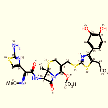 CON=C(C(=O)N[C@@H]1C(=O)N2C(OC(=O)O)=C(CSc3nc(-c4ccc(O)c(O)c4)c(CC(=O)O)s3)CS[C@@H]12)c1csc(N)n1